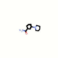 NC(=O)c1cccc(N2CCCCC2)c1